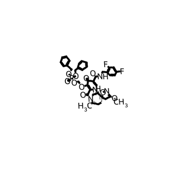 COC1=NO[C@@]2(CC[C@H](C)N3C[C@H]2n2cc(C(=O)NCc4ccc(F)cc4F)c(=O)c(OCOP(=O)(OCc4ccccc4)OCc4ccccc4)c2C3=O)C1